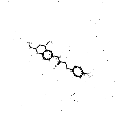 CN1CC(CO)Cc2ccc(NC(=O)CCc3ccc(C(F)(F)F)cc3)cc21